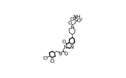 CN(Cc1ccc(Cl)c(Cl)c1)C(=O)Cn1cnc2ccc(C3CCN(C(=O)CS(N)(=O)=O)CC3)cc2c1=O